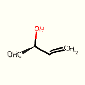 C=C[C@H](O)C=O